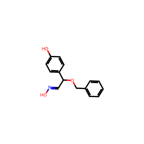 ON=CC(OCc1ccccc1)c1ccc(O)cc1